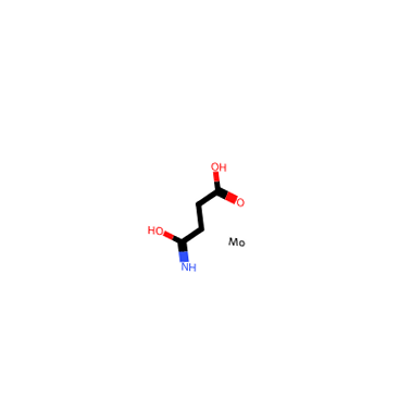 N=C(O)CCC(=O)O.[Mo]